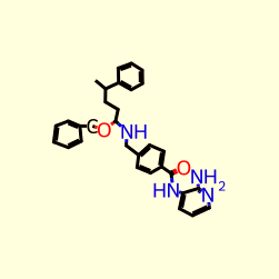 CC(CCC(NCc1ccc(C(=O)Nc2cccnc2N)cc1)OCc1ccccc1)c1ccccc1